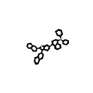 c1ccc(N(c2ccccc2)c2ccc(-c3ccc4c(-c5ccc6ccccc6c5)c(-c5ccc6ccccc6c5)sc4c3)c3ccccc23)cc1